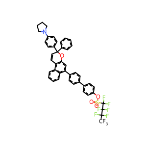 O=S(=O)(Oc1ccc(-c2ccc(-c3cc4c(c5ccccc35)C=CC(c3ccccc3)(c3ccc(N5CCCC5)cc3)O4)cc2)cc1)C(F)(F)C(F)(F)C(F)(F)C(F)(F)F